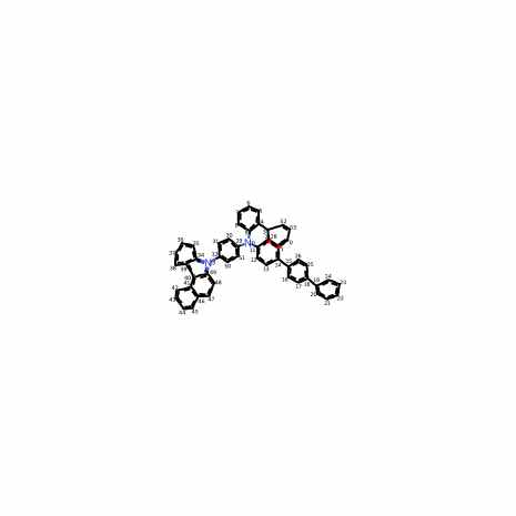 C1=CCC(c2ccccc2N(c2ccc(-c3ccc(-c4ccccc4)cc3)cc2)c2ccc(-n3c4ccccc4c4c5ccccc5ccc43)cc2)C=C1